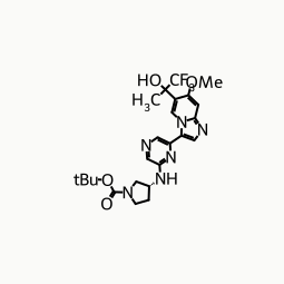 COc1cc2ncc(-c3cncc(N[C@@H]4CCN(C(=O)OC(C)(C)C)C4)n3)n2cc1C(C)(O)C(F)(F)F